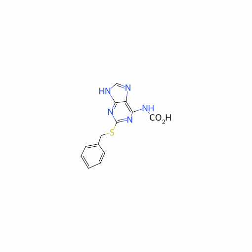 O=C(O)Nc1nc(SCc2ccccc2)nc2[nH]cnc12